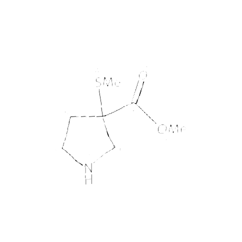 COC(=O)C1(SC)CCNC1